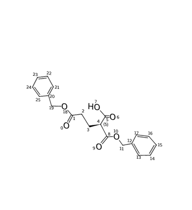 O=C(CC[C@@H](C(=O)O)C(=O)OCc1ccccc1)OCc1ccccc1